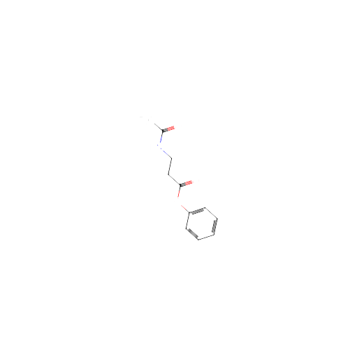 O=C(CCNC(=O)C(F)(F)F)Oc1ccccc1